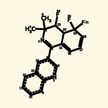 CC1(C)N=C(c2cnc3ccccc3c2)C2=CC=CC(F)(F)C2C1F